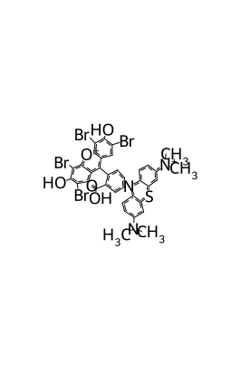 CN(C)c1ccc2nc3ccc(=[N+](C)C)cc-3sc2c1.O=C(O)c1ccccc1-c1c2cc(Br)c(O)c(Br)c2[o+]c2c(Br)c(O)c(Br)cc12